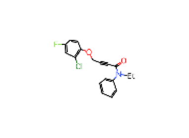 CCN(C(=O)C#CCOc1ccc(F)cc1Cl)c1ccccc1